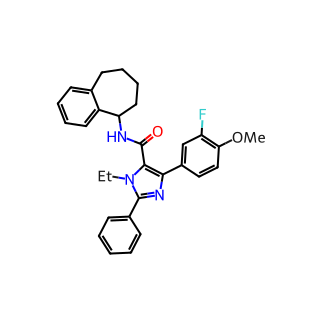 CCn1c(-c2ccccc2)nc(-c2ccc(OC)c(F)c2)c1C(=O)NC1CCCCc2ccccc21